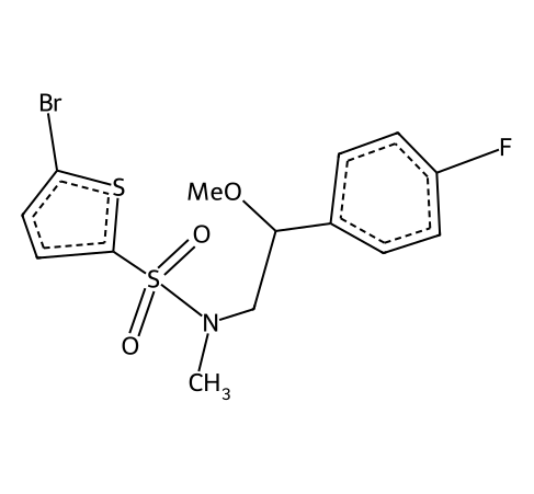 COC(CN(C)S(=O)(=O)c1ccc(Br)s1)c1ccc(F)cc1